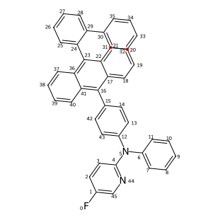 Fc1ccc(N(c2ccccc2)c2ccc(-c3c4ccccc4c(-c4ccccc4-c4ccccc4)c4ccccc34)cc2)nc1